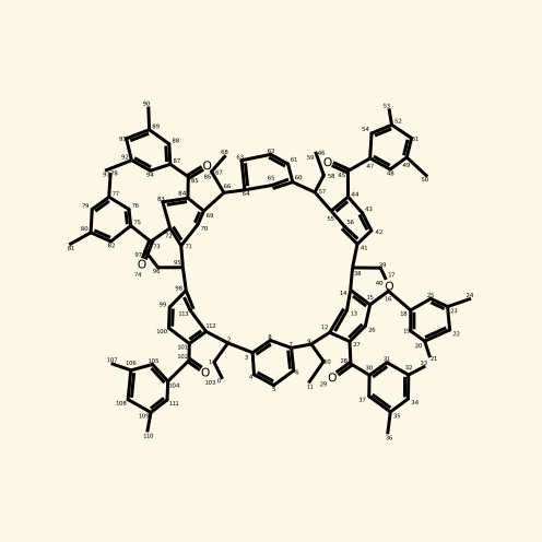 CCC1c2cccc(c2)C(CC)c2cc(c(C(=O)c3cc(C)cc(C)c3)cc2C(=O)c2cc(C)cc(C)c2)C(CC)c2ccc(C(=O)c3cc(C)cc(C)c3)c(c2)C(CC)c2cccc(c2)C(CC)c2cc(c(C(=O)c3cc(C)cc(C)c3)cc2C(=O)c2cc(C)cc(C)c2)C(CC)c2ccc(C(=O)c3cc(C)cc(C)c3)c1c2